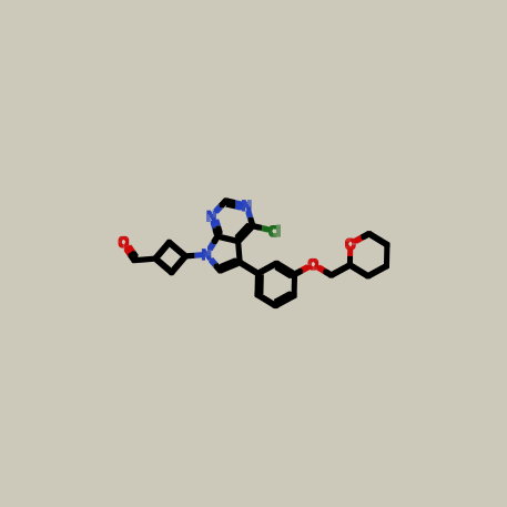 O=CC1CC(n2cc(-c3cccc(OCC4CCCCO4)c3)c3c(Cl)ncnc32)C1